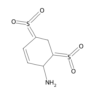 NC1C=CC(=S(=O)=O)CC1=S(=O)=O